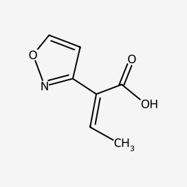 CC=C(C(=O)O)c1ccon1